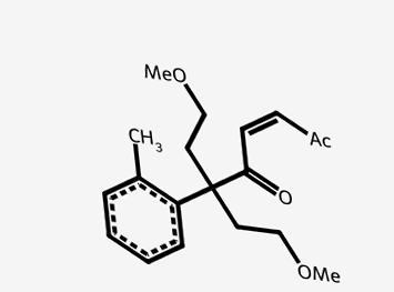 COCCC(CCOC)(C(=O)/C=C\C(C)=O)c1ccccc1C